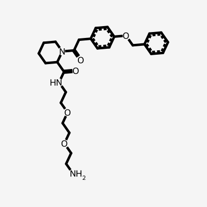 NCCOCCOCCNC(=O)C1CCCCN1C(=O)Cc1ccc(OCc2ccccc2)cc1